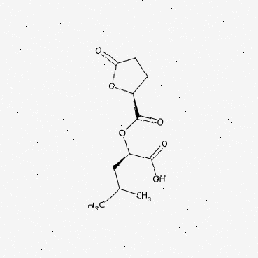 CC(C)C[C@@H](OC(=O)[C@@H]1CCC(=O)O1)C(=O)O